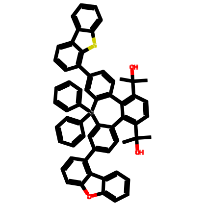 CC(C)(O)c1ccc(C(C)(C)O)c2c1-c1ccc(-c3cccc4c3sc3ccccc34)cc1[Si](c1ccccc1)(c1ccccc1)c1cc(-c3cccc4oc5ccccc5c34)ccc1-2